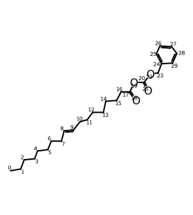 CCCCCCCCC=CCCCCCCCC(=O)OC(=O)OCc1ccccc1